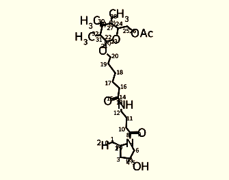 [2H]C[C@@H]1C[C@@H](O)CN1C(=O)CCCNC(=O)CCCCCO[C@@H]1OC(COC(C)=O)[C@H](C)[C@H](C)C1C